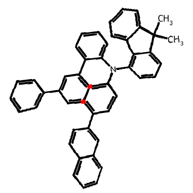 CC1(C)c2ccccc2-c2c(N(c3ccc(-c4ccc5ccccc5c4)cc3)c3ccccc3-c3cccc(-c4ccccc4)c3)cccc21